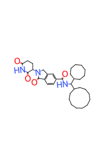 O=C1CCC(N2Cc3cc(C(=O)NC(C4CCCCCCCCCC4)C4CCCCCCC4)ccc3C2=O)C(=O)N1